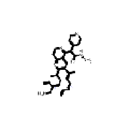 C=C/C=C\C=C(/C)c1cc2c(C(C(=O)NN)c3ccncc3)nccc2nc1C(C)C/C=C(\C=C)CN